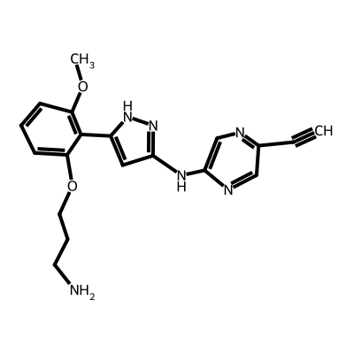 C#Cc1cnc(Nc2cc(-c3c(OC)cccc3OCCCN)[nH]n2)cn1